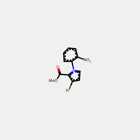 COC(=O)c1c(Br)ccn1-c1ccccc1[N+](=O)[O-]